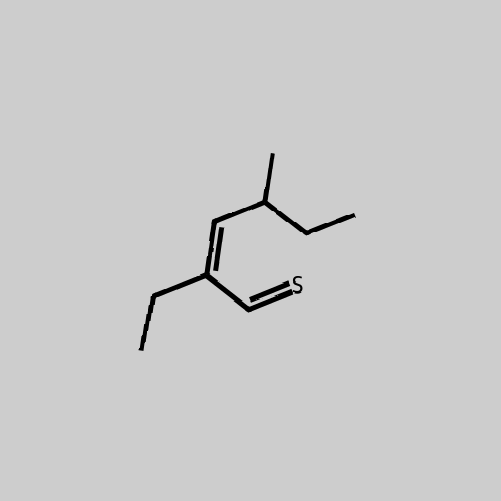 CCC(C=S)=CC(C)CC